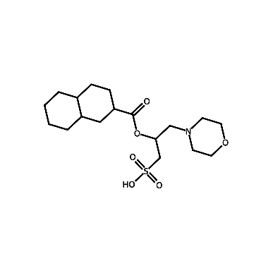 O=C(OC(CN1CCOCC1)CS(=O)(=O)O)C1CCC2CCCCC2C1